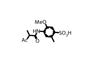 COc1cc(S(=O)(=O)O)c(C)cc1NC(=O)C(C)C(C)=O